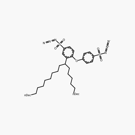 CCCCCCCCCCCCCCCCCCC(CCCCCCCCCCCCCCC)c1cc(S(=O)(=O)N=[N+]=[N-])ccc1Oc1ccc(S(=O)(=O)N=[N+]=[N-])cc1